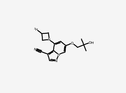 [2H]C1CN(c2cc(OCC(C)(C)O)cn3ncc(C#N)c23)C1